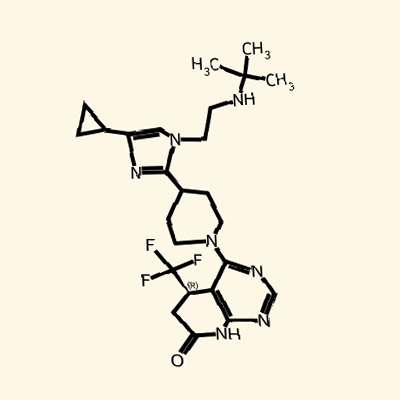 CC(C)(C)NCCn1cc(C2CC2)nc1C1CCN(c2ncnc3c2[C@H](C(F)(F)F)CC(=O)N3)CC1